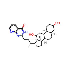 C[C@H](CCc1nc2ncccc2c(=O)[nH]1)[C@H]1CC[C@H]2[C@@H]3CC[C@@H]4C[C@H](O)CC[C@]4(C)C3C[C@H](O)[C@]12C